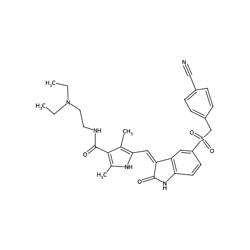 CCN(CC)CCNC(=O)c1c(C)[nH]c(/C=C2\C(=O)Nc3ccc(S(=O)(=O)Cc4ccc(C#N)cc4)cc32)c1C